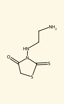 NCCNN1C(=O)CSC1=S